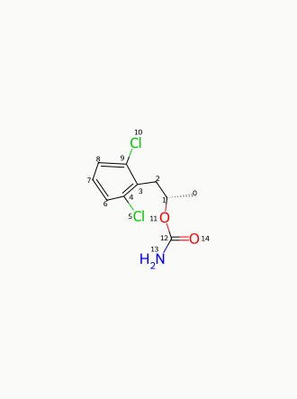 C[C@@H](Cc1c(Cl)cccc1Cl)OC(N)=O